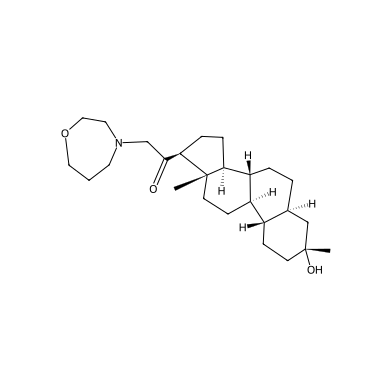 C[C@@]1(O)CC[C@H]2[C@@H](CC[C@@H]3[C@@H]2CC[C@]2(C)[C@@H](C(=O)CN4CCCOCC4)CC[C@@H]32)C1